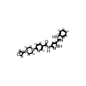 O=C(Nc1cc(-c2nc3ccccc3[nH]2)[nH]n1)c1ccc(N2CCN(C3COC3)CC2)nc1